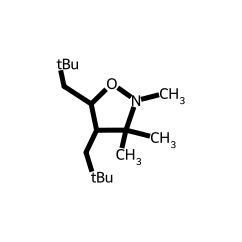 CN1OC(CC(C)(C)C)C(CC(C)(C)C)C1(C)C